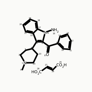 CN1CCC(c2c(C(=O)c3ccccc3)n(N)c3ccccc23)CC1.O=C(O)/C=C/C(=O)O